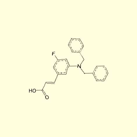 O=C(O)C=Cc1cc(F)cc(N(Cc2ccccc2)Cc2ccccc2)c1